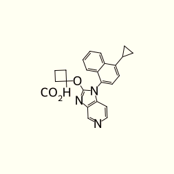 O=C(O)C1(Oc2nc3cnccc3n2-c2ccc(C3CC3)c3ccccc23)CCC1